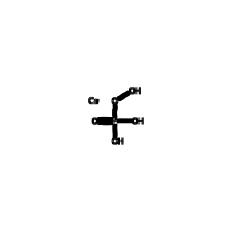 O=P(O)(O)OO.[Ca]